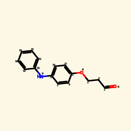 O=CCCOc1ccc(Nc2ccccc2)cc1